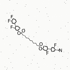 N#Cc1ccc(-c2ccc(OC(=O)CCCCCCCCCC(=O)Oc3ccc(-c4ccc(F)c(F)c4)c(F)c3)cc2F)cc1F